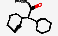 CNC(=O)C(C1CCCCC1)C1CCCCC1